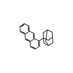 c1ccc2cc3c(C45CC6CC(CC(C6)C4)C5)cccc3cc2c1